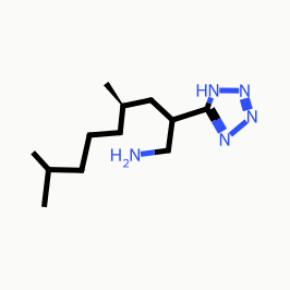 CC(C)CCC[C@@H](C)CC(CN)c1nnn[nH]1